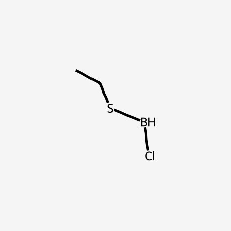 CCSBCl